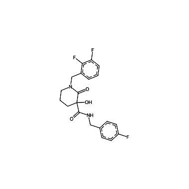 O=C(NCc1ccc(F)cc1)C1(O)CCCN(Cc2cccc(F)c2F)C1=O